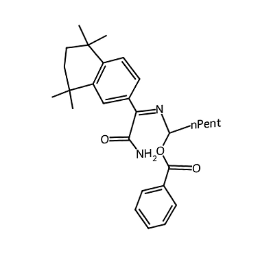 CCCCCC(N=C(C(N)=O)c1ccc2c(c1)C(C)(C)CCC2(C)C)OC(=O)c1ccccc1